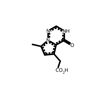 Cc1cc(CC(=O)O)c2c(=O)[nH]cnn12